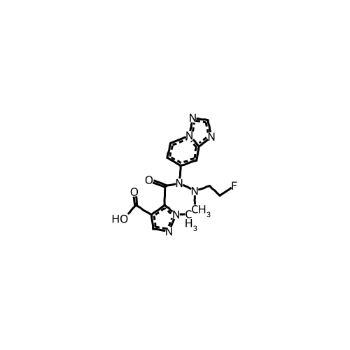 CN(CCF)N(C(=O)c1c(C(=O)O)cnn1C)c1ccn2ncnc2c1